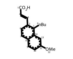 CCCCc1c(C=CC(=O)O)ccc2ccc(OC)cc12